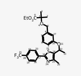 CCOC(=O)C(C)(C)OCc1cccc(OC(C)c2sc(-c3ccc(C(F)(F)F)cc3)nc2C)c1